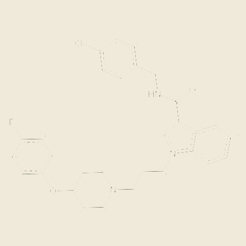 O=C(NCc1ccc(Cl)cc1)c1cn(CCCN2CCC(Oc3ccc(F)cc3)CC2)c2ccccc12